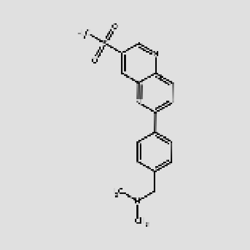 CN(C)Cc1ccc(-c2ccc3ncc(S(C)(=O)=O)cc3n2)cc1